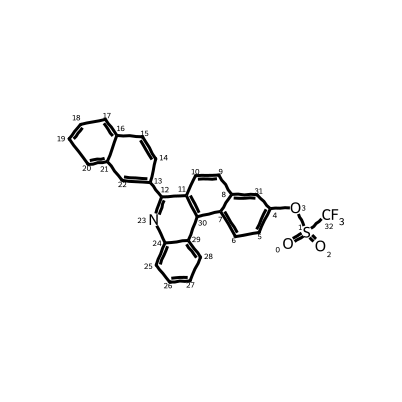 O=S(=O)(Oc1ccc2c(ccc3c(-c4ccc5ccccc5c4)nc4ccccc4c32)c1)C(F)(F)F